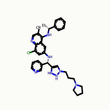 CC[C@@H](Nc1c(C#N)cnc2c(Cl)cc(N[C@H](C3=CN(CCCN4CCCC4)NN3)c3cccnc3)cc12)c1ccccc1